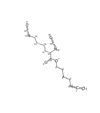 O=C=NCCCCOC(=O)C(CCCCN=C=O)N=C=O